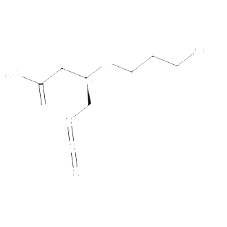 CCCCO[C@@H](CN=[N+]=[N-])CC(=O)O